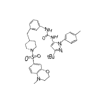 Cc1ccc(-n2nc(C(C)(C)C)cc2NC(=O)Nc2cccc(CC3CCN(S(=O)(=O)c4ccc5c(c4)OCCN5C)CC3)c2)cc1